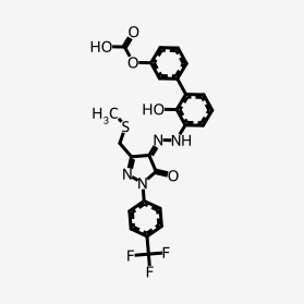 CSCC1=NN(c2ccc(C(F)(F)F)cc2)C(=O)C1=NNc1cccc(-c2cccc(OC(=O)O)c2)c1O